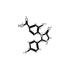 O=C(O)c1ccc(N2C(=O)CSC2c2ccc(F)cc2)c(F)c1